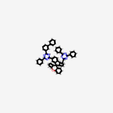 c1ccc(-c2cccc(-c3nc(-c4ccccc4)nc(-c4ccc5c(c4)C4(c6ccccc6Oc6ccccc64)c4cccc(-c6nc(-c7ccccc7)nc(-c7ccccc7)n6)c4-5)n3)c2)cc1